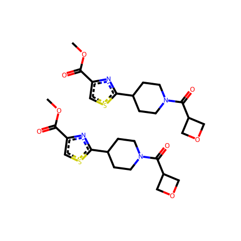 COC(=O)c1csc(C2CCN(C(=O)C3COC3)CC2)n1.COC(=O)c1csc(C2CCN(C(=O)C3COC3)CC2)n1